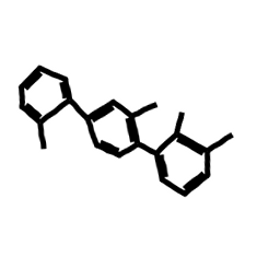 Cc1ccccc1-c1ccc(-c2cccc(C)c2C)c(C)c1